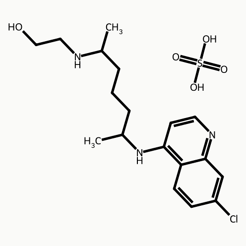 CC(CCCC(C)Nc1ccnc2cc(Cl)ccc12)NCCO.O=S(=O)(O)O